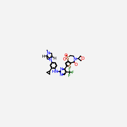 CN1C[C@H]2C[C@@H]1CN2c1ccc(Nc2ncc(C(F)(F)F)c(-c3cc4c(s3)C(=O)N(C3COC3)CCS4(=O)=O)n2)c(C2CC2)c1